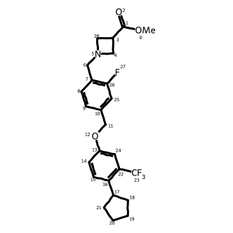 COC(=O)C1CN(Cc2ccc(COc3ccc(C4CCCC4)c(C(F)(F)F)c3)cc2F)C1